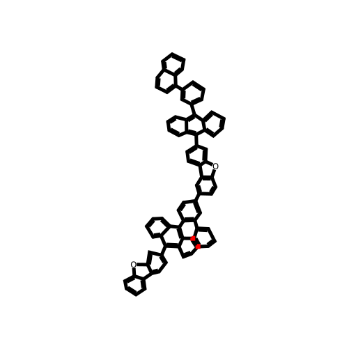 c1ccc(-c2cc(-c3ccc4oc5cc(-c6c7ccccc7c(-c7cccc(-c8cccc9ccccc89)c7)c7ccccc67)ccc5c4c3)ccc2-c2c3ccccc3c(-c3ccc4c(c3)oc3ccccc34)c3ccccc23)cc1